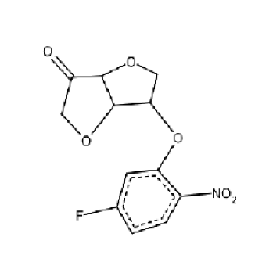 O=C1COC2C(Oc3cc(F)ccc3[N+](=O)[O-])COC12